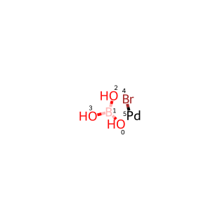 OB(O)O.[Br][Pd]